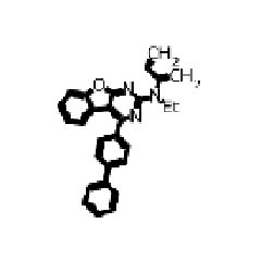 C=CC(=C)N(CC)c1nc(-c2ccc(-c3ccccc3)cc2)c2c(n1)oc1ccccc12